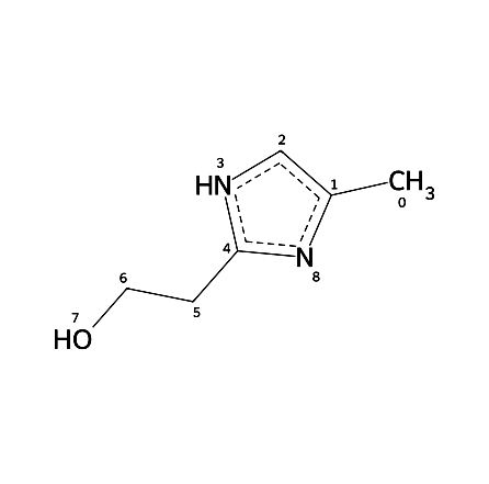 Cc1c[nH]c(CCO)n1